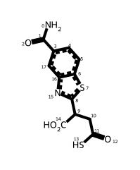 NC(=O)c1ccc2sc(C(CC(=O)S)C(=O)O)nc2c1